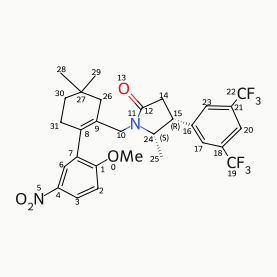 COc1ccc([N+](=O)[O-])cc1C1=C(CN2C(=O)C[C@H](c3cc(C(F)(F)F)cc(C(F)(F)F)c3)[C@@H]2C)CC(C)(C)CC1